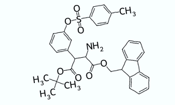 Cc1ccc(S(=O)(=O)Oc2cccc(C(C(=O)OC(C)(C)C)C(N)C(=O)OCC3c4ccccc4-c4ccccc43)c2)cc1